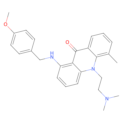 COc1ccc(CNc2cccc3c2c(=O)c2cccc(C)c2n3CCN(C)C)cc1